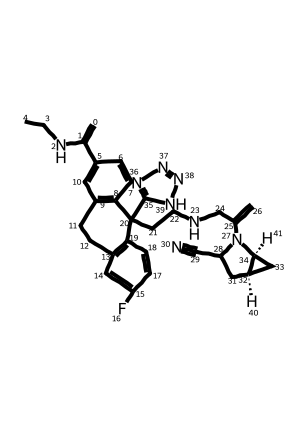 C=C(NCC)c1ccc2c(c1)CCc1cc(F)ccc1C2(CCNCC(=C)N1C(C#N)C[C@@H]2C[C@@H]21)c1nnn[nH]1